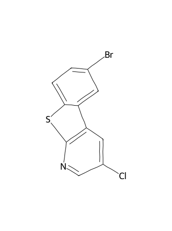 Clc1cnc2sc3ccc(Br)cc3c2c1